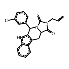 C=CCN1C(=O)C2Cc3c([nH]c4ccccc34)C(c3cccc(Cl)c3)N2C1=S